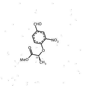 COC(=O)[C@H](C)Oc1ccc(C=O)cc1[N+](=O)[O-]